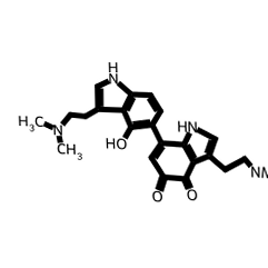 CNCCc1c[nH]c2c1C(=O)C(=O)C=C2c1ccc2[nH]cc(CCN(C)C)c2c1O